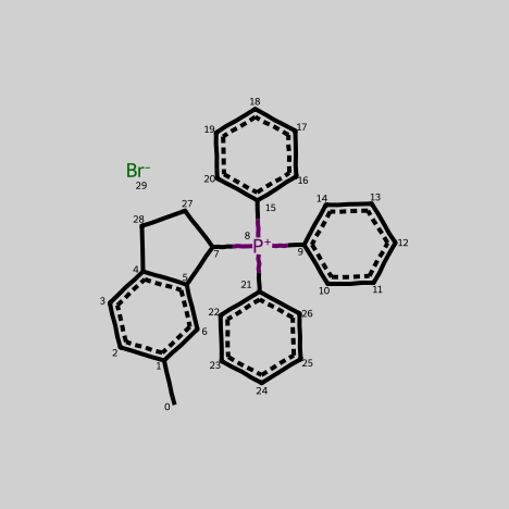 Cc1ccc2c(c1)C([P+](c1ccccc1)(c1ccccc1)c1ccccc1)CC2.[Br-]